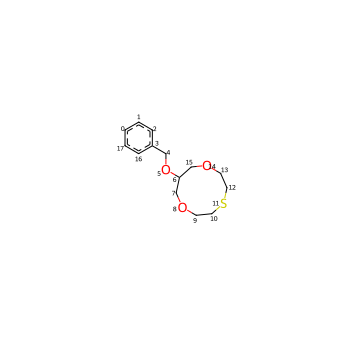 c1ccc(COC2COCCSCCOC2)cc1